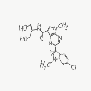 Cn1cc(C(=O)NC(CO)CO)c2nc(-c3nn(C)c4cc(Cl)ccc34)cnc21